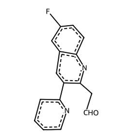 O=CCc1nc2ccc(F)cc2cc1-c1ccccn1